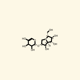 OC[C@@H]1[C@@H](O)[C@H](O)[C@H]2[C@@H](O)[C@H](O[C@H]3OC=C(O)C(O)C3O)CN21